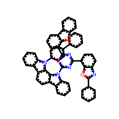 c1ccc(-c2ccc(-n3c4ccccc4c4ccc5c6ccccc6n(-c6nc(-c7cccc8nc(-c9ccccc9)oc78)nc(-c7cccc8c7oc7ccccc78)n6)c5c43)cc2)cc1